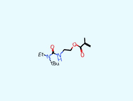 C=C(C)C(=O)OCCNC(=O)N(CC)C(C)(C)C